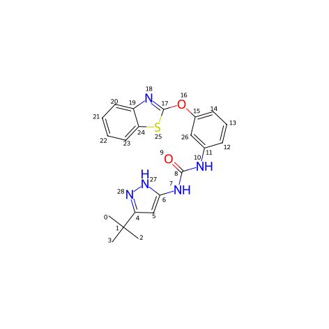 CC(C)(C)c1cc(NC(=O)Nc2cccc(Oc3nc4ccccc4s3)c2)[nH]n1